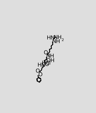 Cl.N=C(N)NCCCCCCC(=O)NC[C@@H](O)CC(=O)NCCCC(=O)OCc1ccccc1